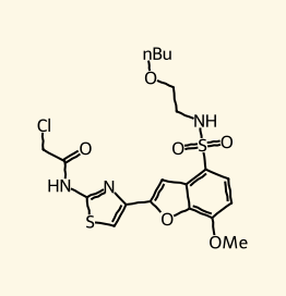 CCCCOCCNS(=O)(=O)c1ccc(OC)c2oc(-c3csc(NC(=O)CCl)n3)cc12